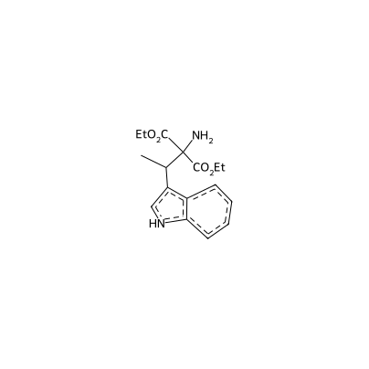 CCOC(=O)C(N)(C(=O)OCC)C(C)c1c[nH]c2ccccc12